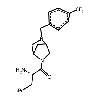 CC(C)C[C@H](N)C(=O)N1CC2CC1CN2Cc1ccc(C(F)(F)F)cc1